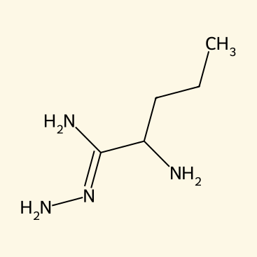 CCCC(N)/C(N)=N/N